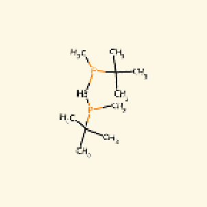 CP(BP(C)C(C)(C)C)C(C)(C)C